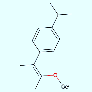 CC([O][Ge])=C(C)c1ccc(C(C)C)cc1